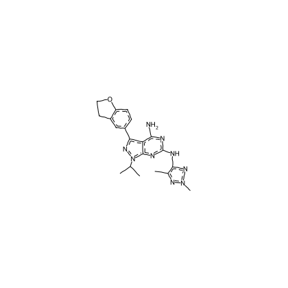 Cc1nn(C)nc1Nc1nc(N)c2c(-c3ccc4c(c3)CCO4)nn(C(C)C)c2n1